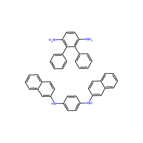 Nc1ccc(N)c(-c2ccccc2)c1-c1ccccc1.c1ccc2cc(Nc3ccc(Nc4ccc5ccccc5c4)cc3)ccc2c1